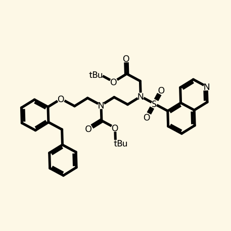 CC(C)(C)OC(=O)CN(CCN(CCOc1ccccc1Cc1ccccc1)C(=O)OC(C)(C)C)S(=O)(=O)c1cccc2cnccc12